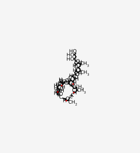 C=C1C[C@@H]2CC[C@@]34C[C@@H]5O[C@@H]6[C@@H](O[C@H]7CC[C@H](CC(=O)O[C@@H]8[C@@H](C)[C@@H]9O[C@@H]%10C[C@]%11(C[C@@H]%12C[C@@]%13(C[C@H](C)[C@@H]%12O%11)C[C@H](C)[C@@H]%11O[C@H]([C@H](O)C[C@H](O)CO)C[C@@H]%11O%13)O[C@@H]%10C[C@@H]9O[C@H]8CC8C[C@@H](CCC1O2)C[C@@H](C)C8=C)O[C@@H]7[C@@H]6O3)[C@H]5O4